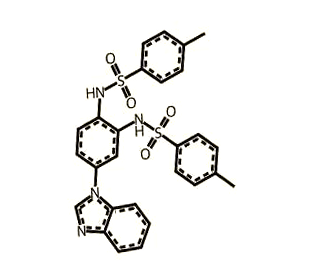 Cc1ccc(S(=O)(=O)Nc2ccc(-n3cnc4ccccc43)cc2NS(=O)(=O)c2ccc(C)cc2)cc1